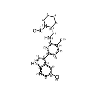 O=CN1CCCC[C@@H]1CNc1nc(-c2c[nH]c3ncc(Cl)cc23)ncc1F